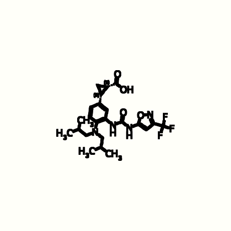 CC(C)CN(CC(C)C)c1ccc([C@@H]2C[C@@H]2C(=O)O)cc1NC(=O)Nc1cc(C(F)(F)F)no1